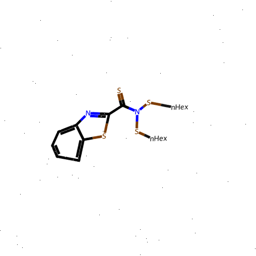 CCCCCCSN(SCCCCCC)C(=S)c1nc2ccccc2s1